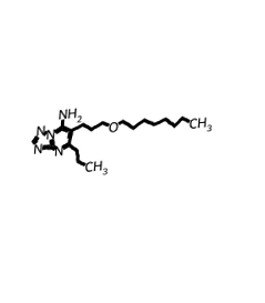 CCCCCCCCOCCCc1c(CCC)nc2ncnn2c1N